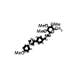 COc1ccc(-n2cnc(-c3ccc(/C=N/O[C@@H]4O[C@@H](C)[C@H](OC)[C@@H](OC)[C@H]4OC)cc3)c2)cc1